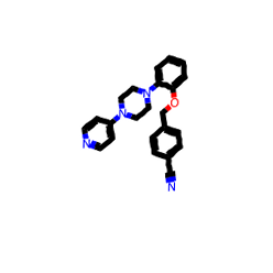 N#Cc1ccc(COc2ccccc2N2CCN(c3ccncc3)CC2)cc1